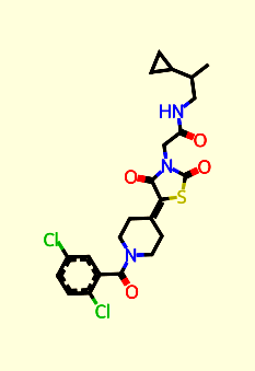 CC(CNC(=O)CN1C(=O)SC(=C2CCN(C(=O)c3cc(Cl)ccc3Cl)CC2)C1=O)C1CC1